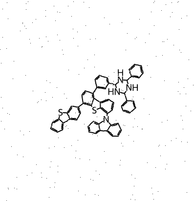 c1ccc(C2NC(c3ccccc3)NC(c3cccc(-c4ccc(-c5ccc6c(c5)sc5ccccc56)c5sc6c(-n7c8ccccc8c8ccccc87)cccc6c45)c3)N2)cc1